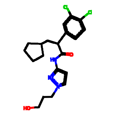 O=C(Nc1ccn(CCCO)n1)C(CC1CCCC1)c1ccc(Cl)c(Cl)c1